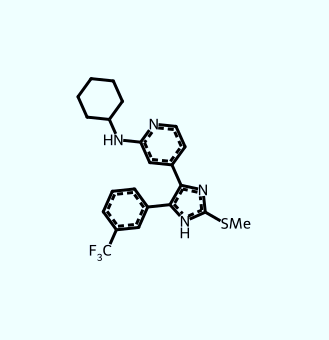 CSc1nc(-c2ccnc(NC3CCCCC3)c2)c(-c2cccc(C(F)(F)F)c2)[nH]1